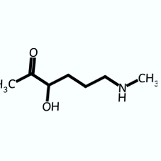 CNCCCC(O)C(C)=O